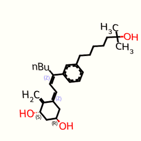 C=C1/C(=C\C=C(\CCCC)c2cccc(CCCCCC(C)(C)O)c2)C[C@@H](O)C[C@@H]1O